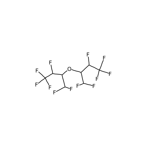 FC(F)C(OC(C(F)F)C(F)C(F)(F)F)C(F)C(F)(F)F